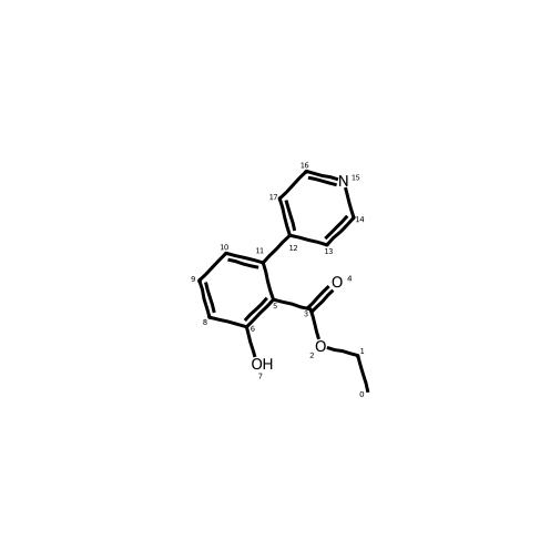 CCOC(=O)c1c(O)cccc1-c1ccncc1